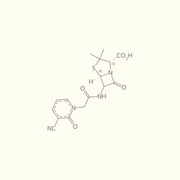 CC1(C)S[C@@H]2C(NC(=O)Cn3cccc(C#N)c3=O)C(=O)N2[C@H]1C(=O)O